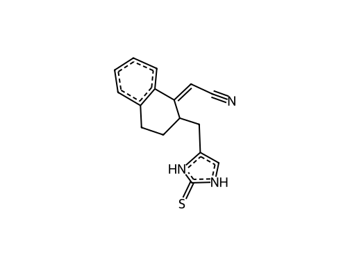 N#CC=C1c2ccccc2CCC1Cc1c[nH]c(=S)[nH]1